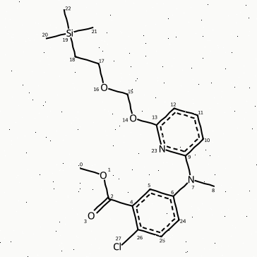 COC(=O)c1cc(N(C)c2cccc(OCOCC[Si](C)(C)C)n2)ccc1Cl